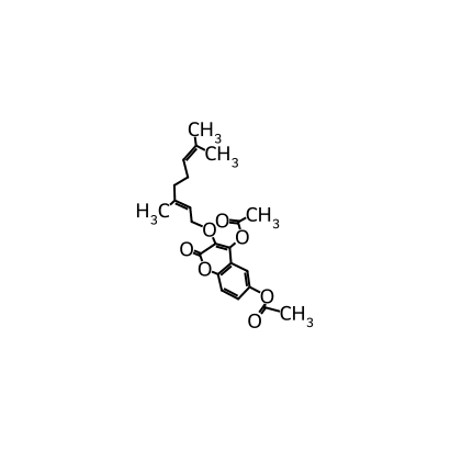 CC(=O)Oc1ccc2oc(=O)c(OC/C=C(\C)CCC=C(C)C)c(OC(C)=O)c2c1